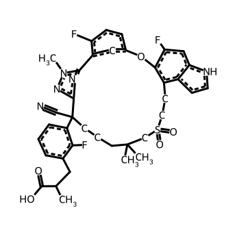 CC(Cc1cccc(C2(C#N)CCCC(C)(C)CS(=O)(=O)CCc3c(c(F)cc4[nH]ccc34)Oc3ccc(F)c(c3)-c3nc2nn3C)c1F)C(=O)O